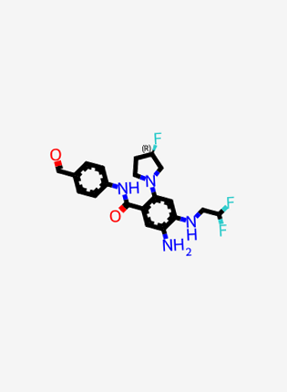 Nc1cc(C(=O)Nc2ccc(C=O)cc2)c(N2CC[C@@H](F)C2)cc1NCC(F)F